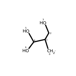 [CH2]C(CO)C(O)O